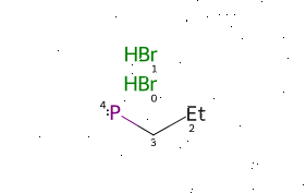 Br.Br.CCC[P]